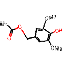 COc1cc(COC(=O)C(C)C)cc(OC)c1O